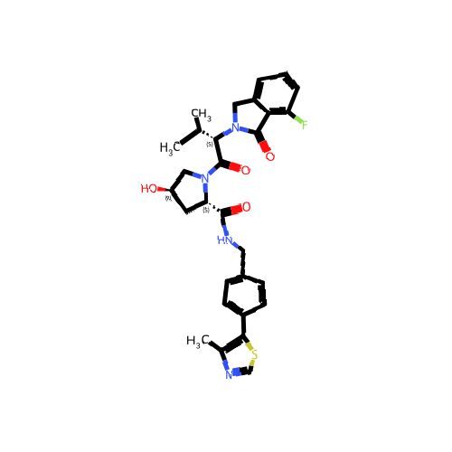 Cc1ncsc1-c1ccc(CNC(=O)[C@@H]2C[C@@H](O)CN2C(=O)[C@H](C(C)C)N2Cc3cccc(F)c3C2=O)cc1